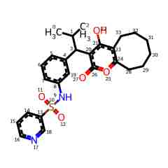 CC(C)C(c1cccc(NS(=O)(=O)c2cccnc2)c1)c1c(O)c2c(oc1=O)CCCCCC2